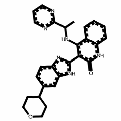 CC(Nc1c(-c2nc3ccc(C4CCOCC4)cc3[nH]2)c(=O)[nH]c2ccccc12)c1ncccn1